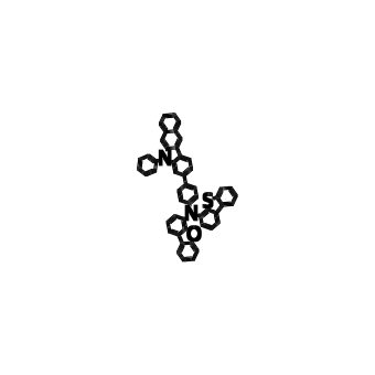 c1ccc(-n2c3cc(-c4ccc(N(c5cccc6c5oc5ccccc56)c5cccc6c5sc5ccccc56)cc4)ccc3c3cc4ccccc4cc32)cc1